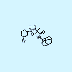 CC(C)(NS(=O)(=O)c1cccc(Br)c1)C(=O)NC1C2CC3CC(C2)CC1C3